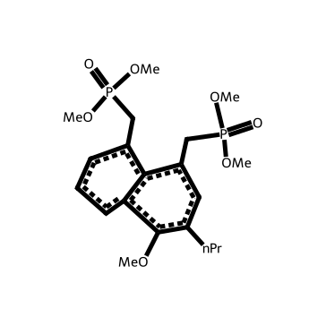 CCCc1cc(CP(=O)(OC)OC)c2c(CP(=O)(OC)OC)cccc2c1OC